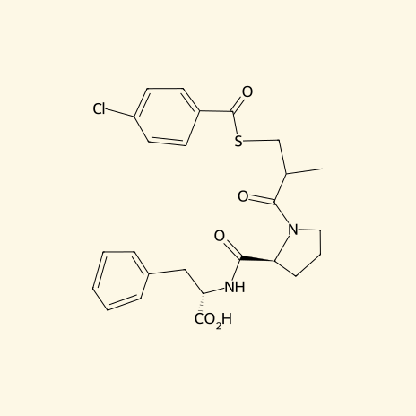 CC(CSC(=O)c1ccc(Cl)cc1)C(=O)N1CCC[C@H]1C(=O)N[C@@H](Cc1ccccc1)C(=O)O